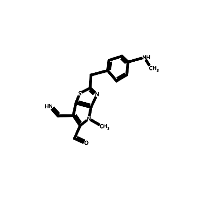 CNc1ccc(Cc2nc3c(s2)c(C=N)c(C=O)n3C)cc1